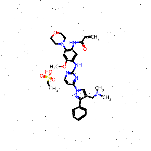 C=CC(=O)Nc1cc(Nc2nccc(-n3cc(CN(C)C)c(-c4ccccc4)n3)n2)c(OC)cc1N1CCOCC1.CCS(=O)(=O)O